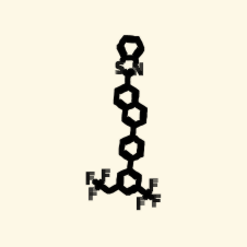 FC(F)(F)Cc1cc(-c2ccc(-c3ccc4cc(-c5nc6ccccc6s5)ccc4c3)cc2)cc(C(F)(F)F)c1